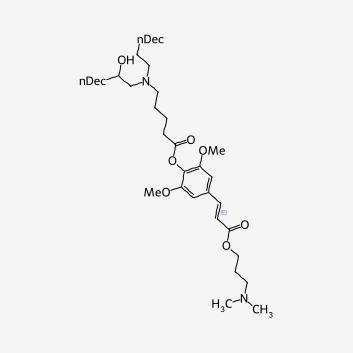 CCCCCCCCCCCCN(CCCCC(=O)Oc1c(OC)cc(/C=C/C(=O)OCCCN(C)C)cc1OC)CC(O)CCCCCCCCCC